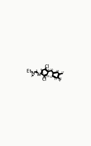 CCN(C)C=Nc1cc(Cl)c(Cc2ccc(F)c(C)c2)cc1Cl